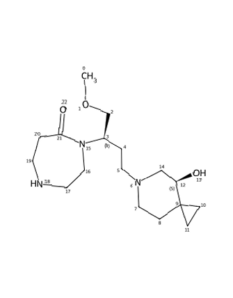 COC[C@@H](CCN1CCC2(CC2)[C@H](O)C1)N1CCNCCC1=O